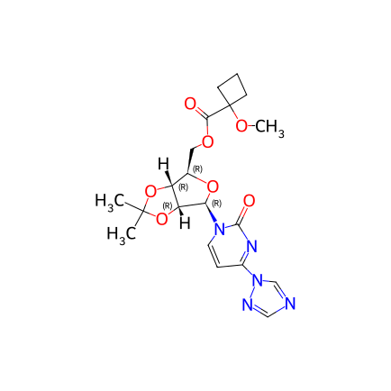 COC1(C(=O)OC[C@H]2O[C@@H](n3ccc(-n4cncn4)nc3=O)[C@@H]3OC(C)(C)O[C@@H]32)CCC1